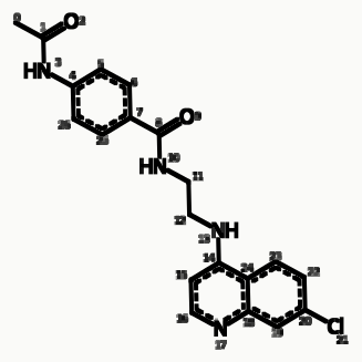 CC(=O)Nc1ccc(C(=O)NCCNc2ccnc3cc(Cl)ccc23)cc1